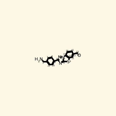 NCc1ccc(-c2nc3sc4cc(C=O)ccc4n3n2)cc1